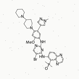 COc1cc(N2CCC(N3CCCCC3)CC2)c(-c2cnn(C)c2)cc1Nc1ncc(Br)c(Nc2ccc3nccnc3c2P(C)(C)=O)n1